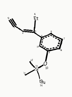 C#CC=C(CC)c1cccc(O[Si](C)(C)C(C)(C)C)c1